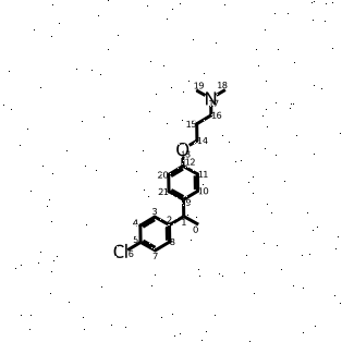 CC(c1ccc(Cl)cc1)c1ccc(OCCCN(C)C)cc1